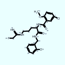 COc1ccc(Cl)cc1C(=O)NC(CCCNC(=N)CF)C(=O)NCc1ccccc1Cl